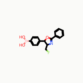 OB(O)c1ccc(C2OC(c3ccccc3)=NC2CF)cc1